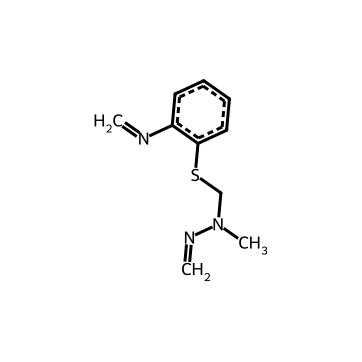 C=Nc1ccccc1SCN(C)N=C